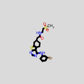 CS(=O)(=O)CCNC(=O)CC1CCc2c(sc3ncnc(Nc4cccc(Br)c4)c23)C1